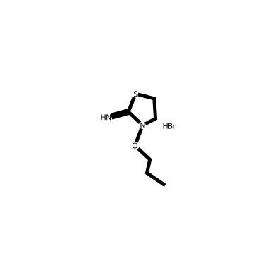 Br.CCCON1CCSC1=N